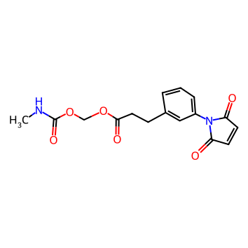 CNC(=O)OCOC(=O)CCc1cccc(N2C(=O)C=CC2=O)c1